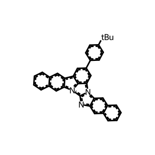 CC(C)(C)c1ccc(-c2cc3c4cc5ccccc5cc4n4c3c(c2)n2c3cc5ccccc5cc3nc24)cc1